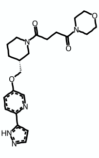 O=C(CCC(=O)N1CCC[C@@H](COc2ccc(-c3ccn[nH]3)nc2)C1)N1CCOCC1